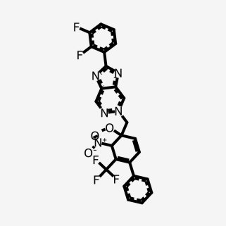 COC1(Cn2cc3nc(-c4cccc(F)c4F)nc-3cn2)C=CC(c2ccccc2)=C(C(F)(F)F)C1[N+](=O)[O-]